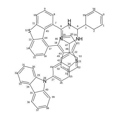 C1=CCC(C2NC(c3cccc4sc5cccc(-c6cccc7sc8ccc(-n9c%10ccccc%10c%10ccccc%109)cc8c67)c5c34)=NC(c3ccccc3)N2)C=C1